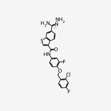 N/N=C(\N)c1ccc2c(C(=O)Nc3ccc(OCc4ccc(F)cc4Cl)c(F)c3)csc2c1